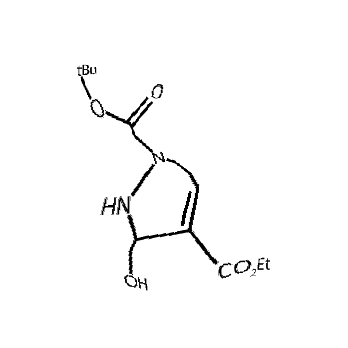 CCOC(=O)C1=CN(C(=O)OC(C)(C)C)NC1O